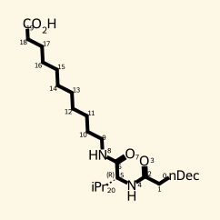 CCCCCCCCCCCC(=O)N[C@@H](C(=O)NCCCCCCCCCCC(=O)O)C(C)C